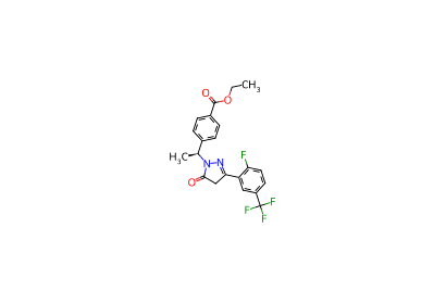 CCOC(=O)c1ccc([C@H](C)N2N=C(c3cc(C(F)(F)F)ccc3F)CC2=O)cc1